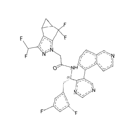 O=C(Cn1nc(C(F)F)c2c1C(F)(F)C1CC21)N[C@@H](Cc1cc(F)cc(F)c1)c1ncncc1-c1cccc2cnccc12